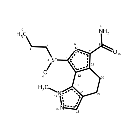 CCC[S+]([O-])c1sc(C(N)=O)c2c1-c1c(cnn1C)CC2